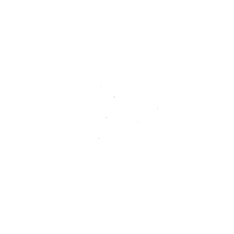 CCCOC(=O)C(C)=C[Si](O[Si](CC)(CC)CC)(O[Si](CC)(CC)CC)O[Si](CC)(CC)CC